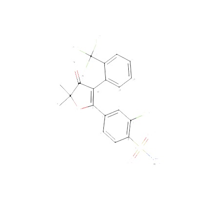 CC1(C)OC(c2ccc(S(N)(=O)=O)c(F)c2)=C(c2ccccc2C(F)(F)F)C1=O